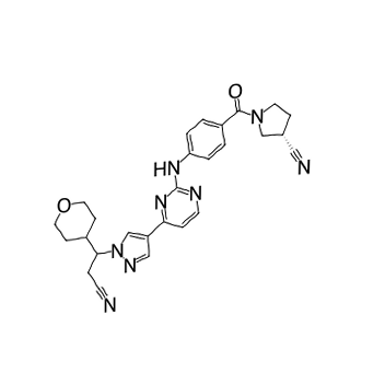 N#CCC(C1CCOCC1)n1cc(-c2ccnc(Nc3ccc(C(=O)N4CC[C@H](C#N)C4)cc3)n2)cn1